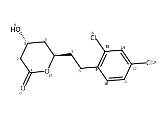 O=C1C[C@H](O)C[C@@H](CCc2ccc(Cl)cc2Cl)O1